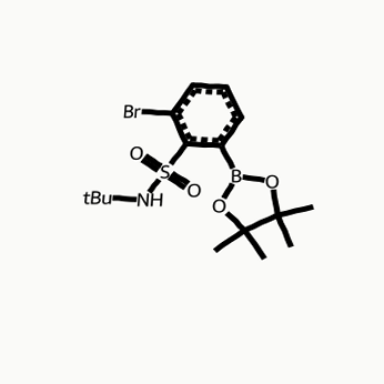 CC(C)(C)NS(=O)(=O)c1c(Br)cccc1B1OC(C)(C)C(C)(C)O1